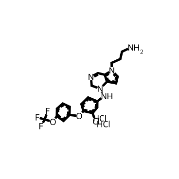 Cl.Cl.NCCCn1ccc2c1C=NCN2Nc1ccc(Oc2cccc(OC(F)(F)F)c2)c(Cl)c1